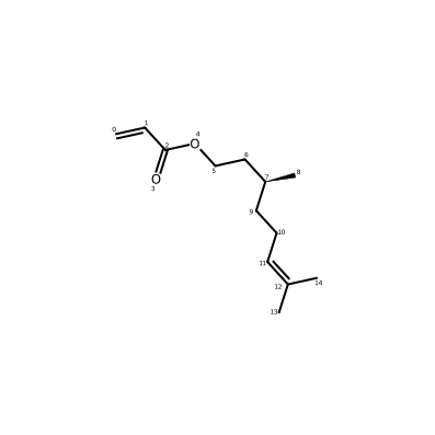 C=CC(=O)OCC[C@@H](C)CCC=C(C)C